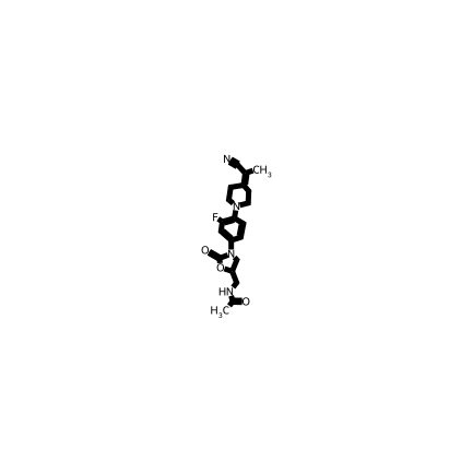 CC(=O)NCC1CN(c2ccc(N3CCC(=C(C)C#N)CC3)c(F)c2)C(=O)O1